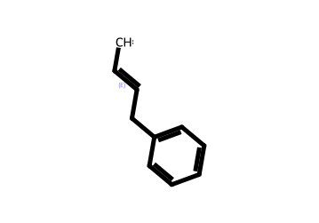 [CH]/C=C/Cc1ccccc1